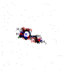 CC[C@H]1C[C@@H]2C[C@H]3[C@@H](O)[C@@H](C)[C@H](C[C@H](O)[C@@H](C)CC/C=C/C=C(\C)[C@@H]4C/C=C/C=C/[C@H](O)[C@H](C)[C@@H](O)[C@@H](CCC(C)=O)C(=O)N[C@@H](C(C)C)C(=O)N[C@@H](Cc5cc(O)cc(F)c5)C(=O)N5CCCC(N5)C(=O)O4)O[C@]23NC1=O